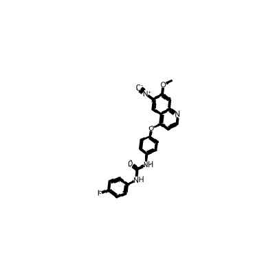 [C-]#[N+]c1cc2c(Oc3ccc(NC(=O)Nc4ccc(F)cc4)cc3)ccnc2cc1OC